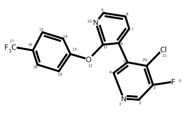 Fc1cncc(-c2cccnc2Oc2ccc(C(F)(F)F)cc2)c1Cl